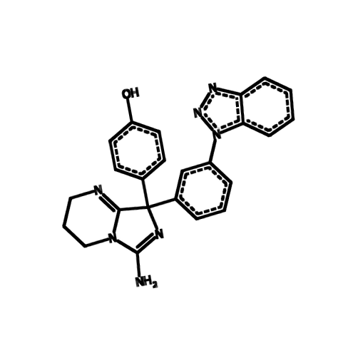 NC1=NC(c2ccc(O)cc2)(c2cccc(-n3nnc4ccccc43)c2)C2=NCCCN12